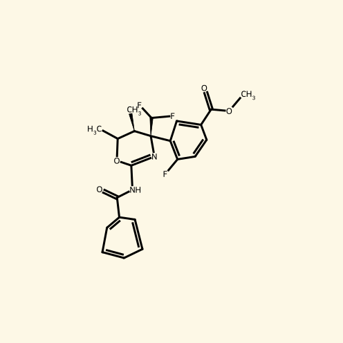 COC(=O)c1ccc(F)c([C@]2(C(F)F)N=C(NC(=O)c3ccccc3)OC(C)[C@H]2C)c1